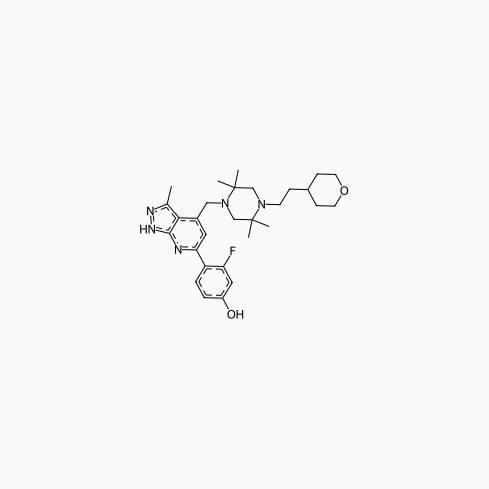 Cc1n[nH]c2nc(-c3ccc(O)cc3F)cc(CN3CC(C)(C)N(CCC4CCOCC4)CC3(C)C)c12